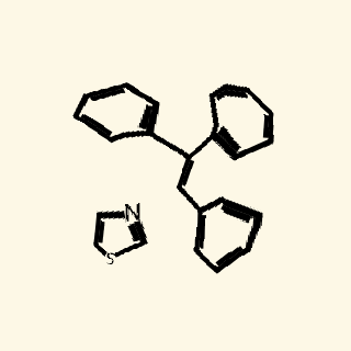 C(=C(c1ccccc1)c1ccccc1)c1ccccc1.c1cscn1